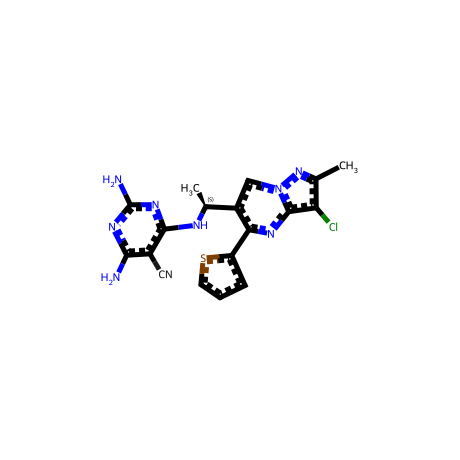 Cc1nn2cc([C@H](C)Nc3nc(N)nc(N)c3C#N)c(-c3cccs3)nc2c1Cl